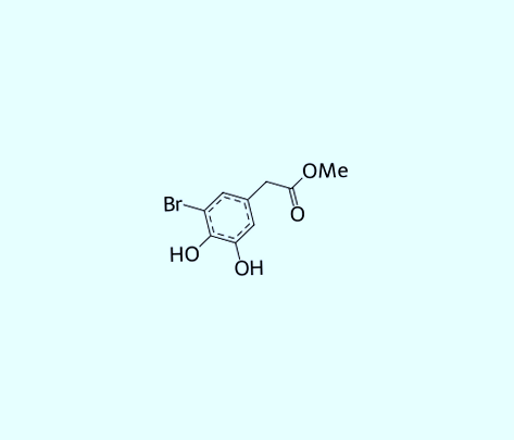 COC(=O)Cc1cc(O)c(O)c(Br)c1